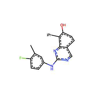 Cc1cc(Nc2ncc3ccc(O)c(C(C)C)c3n2)ccc1F